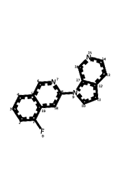 Fc1cccc2cnc(-n3ccc4ccncc43)cc12